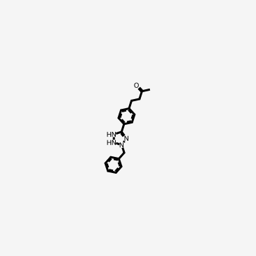 CC(=O)CCc1ccc(C2=NN(Cc3ccccc3)NN2)cc1